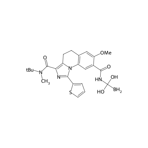 BC(O)(O)NC(=O)c1cc2c(cc1OC)CCc1c(C(=O)N(C)C(C)(C)C)nc(-c3cccs3)n1-2